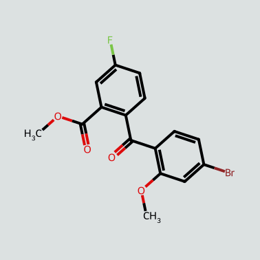 COC(=O)c1cc(F)ccc1C(=O)c1ccc(Br)cc1OC